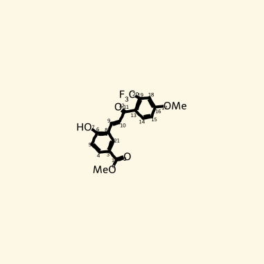 COC(=O)c1ccc(O)c(C=CC(=O)c2ccc(OC)cc2C(F)(F)F)c1